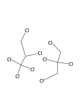 ClCC(Cl)(Cl)CCl.ClCC(Cl)C(Cl)(Cl)Cl